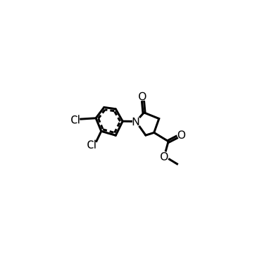 COC(=O)C1CC(=O)N(c2ccc(Cl)c(Cl)c2)C1